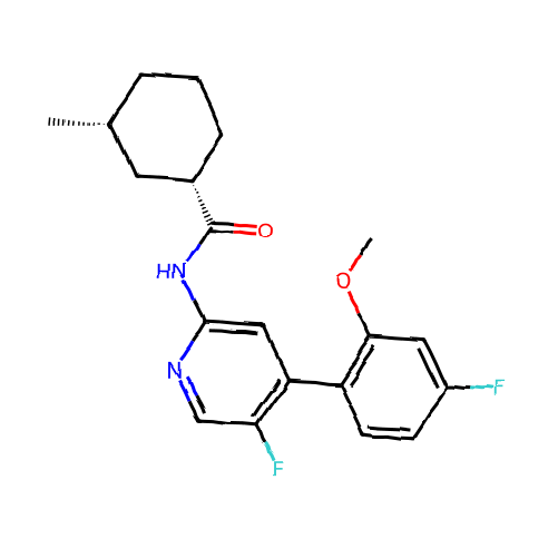 COc1cc(F)ccc1-c1cc(NC(=O)[C@H]2CCC[C@@H](C)C2)ncc1F